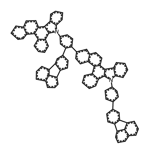 c1cc2c3c(cccc3c1)-c1cc(-c3ccc(-n4c5ccccc5c5c6ccc7cc(-c8ccc(-n9c%10ccccc%10c%10c%11ccc%12ccccc%12c%11c%11ccccc%11c%109)cc8-c8ccc9c(c8)-c8cccc%10cccc-9c8%10)ccc7c6c6ccccc6c54)cc3)ccc1-2